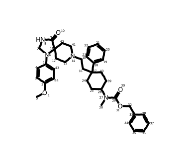 COc1ccc(N2CNC(=O)C23CCN(CCC2(c4ccccc4)CCC(N(C)C(=O)OCc4ccccc4)CC2)CC3)cc1